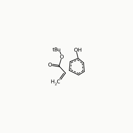 C=CC(=O)OC(C)(C)C.Oc1ccccc1